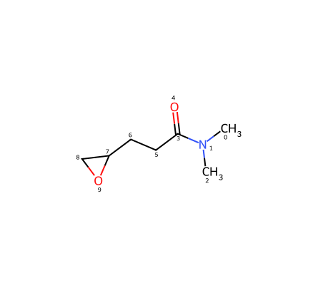 CN(C)C(=O)CCC1CO1